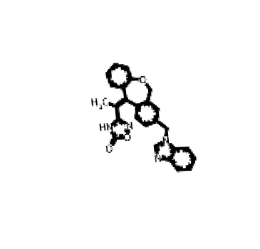 C/C(=C1/c2ccc(Cn3cnc4ccccc43)cc2COc2ccccc21)c1noc(=O)[nH]1